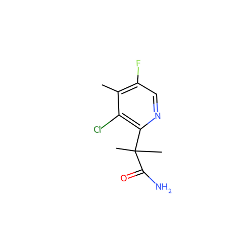 Cc1c(F)cnc(C(C)(C)C(N)=O)c1Cl